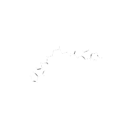 CN(CCNC(=O)Nc1ccc2nn[nH]c2c1)CCNC(=O)Nc1ccc2nn[nH]c2c1